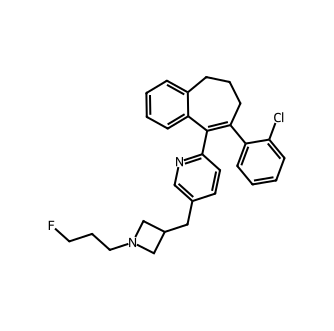 FCCCN1CC(Cc2ccc(C3=C(c4ccccc4Cl)CCCc4ccccc43)nc2)C1